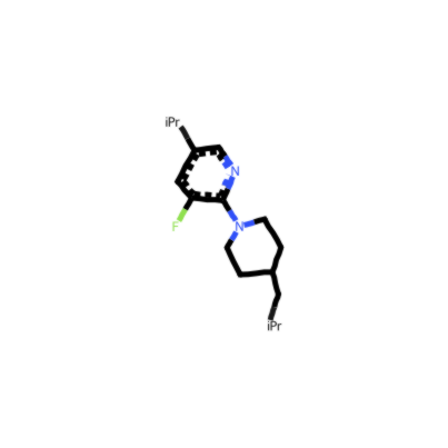 CC(C)CC1CCN(c2ncc(C(C)C)cc2F)CC1